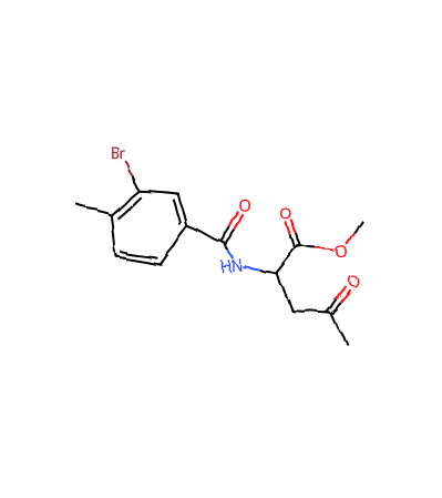 COC(=O)C(CC(C)=O)NC(=O)c1ccc(C)c(Br)c1